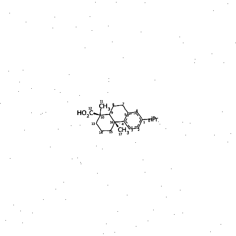 CC(C)c1ccc2c(c1)CCC1[C@](C)(C(=O)O)CCC[C@@]21C